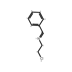 ClCC/N=C/c1ccccc1